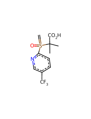 C=S(=O)(c1ccc(C(F)(F)F)cn1)C(C)(C)C(=O)O